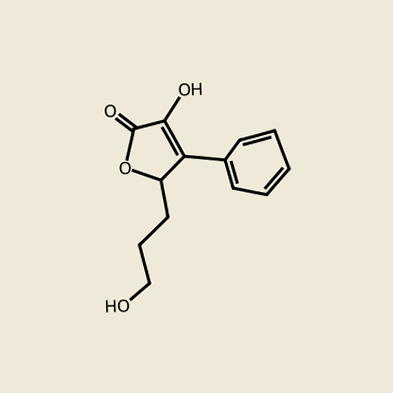 O=C1OC(CCCO)C(c2ccccc2)=C1O